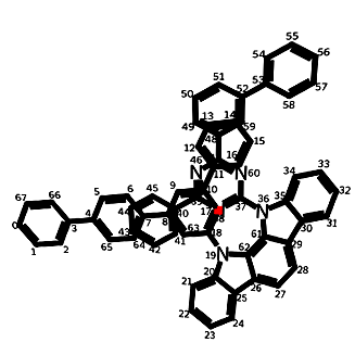 c1ccc(-c2ccc(-c3cc(-c4ccccc4)cc(-n4c5ccccc5c5ccc6c7ccccc7n(-c7nc(-c8ccccc8)nc(-c8cccc(-c9ccccc9)c8)n7)c6c54)c3)cc2)cc1